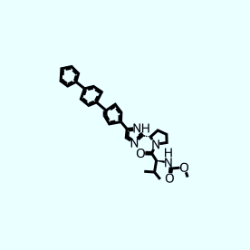 COC(=O)N[C@H](C(=O)N1CCC[C@H]1c1ncc(-c2ccc(-c3ccc(-c4ccccc4)cc3)cc2)[nH]1)C(C)C